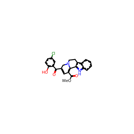 COC(=O)C1=C2c3[nH]c4ccccc4c3CCN2CC(C(=O)c2cc(Cl)ccc2O)=C1